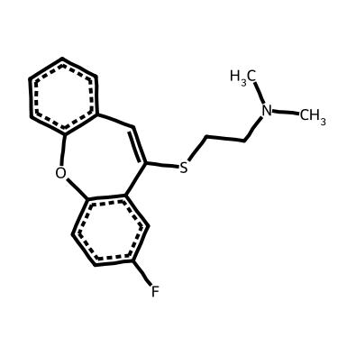 CN(C)CCSC1=Cc2ccccc2Oc2ccc(F)cc21